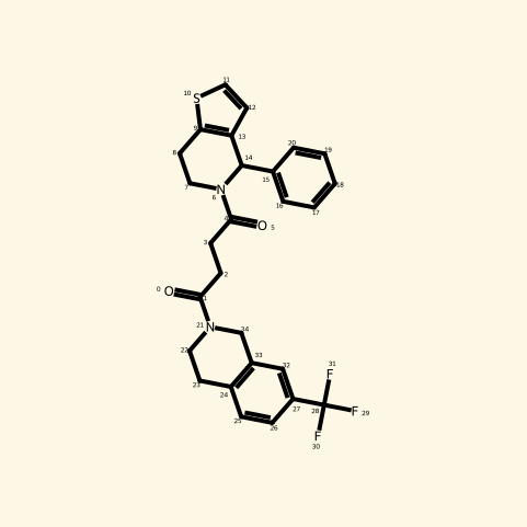 O=C(CCC(=O)N1CCc2sccc2C1c1ccccc1)N1CCc2ccc(C(F)(F)F)cc2C1